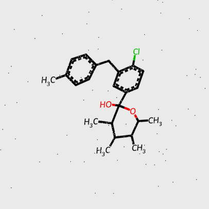 Cc1ccc(Cc2cc(C3(O)OC(C)C(C)C(C)C3C)ccc2Cl)cc1